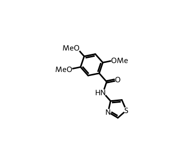 COc1cc(OC)c(C(=O)Nc2cscn2)cc1OC